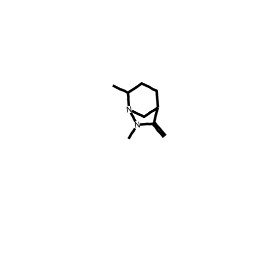 C=C1C2CCC(C)N(C2)N1C